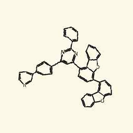 c1ccc(-c2nc(-c3ccc(-c4cccnc4)cc3)cc(-c3ccc(-c4cccc5oc6ccccc6c45)c4oc5ccccc5c34)n2)cc1